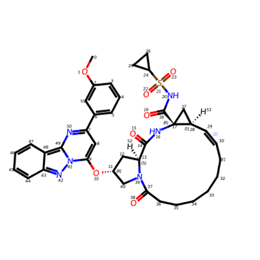 COc1cccc(-c2cc(O[C@@H]3C[C@H]4C(=O)N[C@]5(C(=O)NS(=O)(=O)C6CC6)C[C@H]5/C=C\CCCCCCC(=O)N4C3)n3nc4ccccc4c3n2)c1